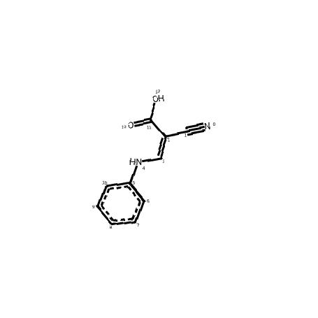 N#CC(=CNc1ccccc1)C(=O)O